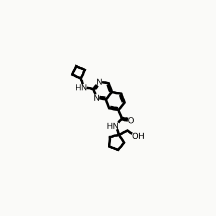 O=C(NC1(CO)CCCC1)c1ccc2cnc(NC3CCC3)nc2c1